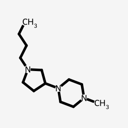 CCCCN1CCC(N2CCN(C)CC2)C1